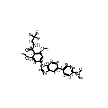 COc1cc(-n2cnc3cc(-c4ccc(N(C)C)nc4)ccc32)cc(OC)c1C(=O)NCC(F)(F)F